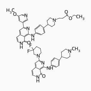 CCOC(=O)CCN1CCC(c2ccc(Nc3nc(-c4cncc(OC)c4)cc4cc[nH]c(=O)c34)cc2)CC1.CN1CCC(c2ccc(Nc3nc(N4CCCC(F)(F)C4)cc4cc[nH]c(=O)c34)cc2)CC1